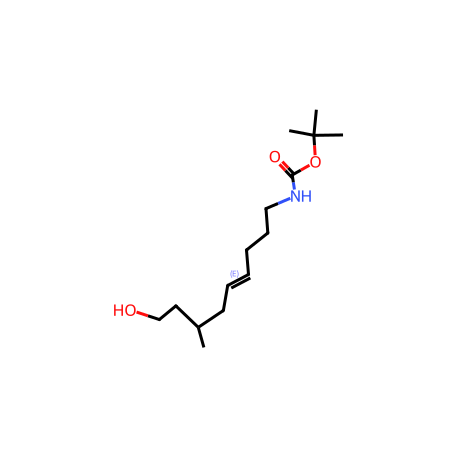 CC(C/C=C/CCCNC(=O)OC(C)(C)C)CCO